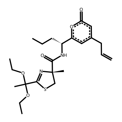 C=CCc1cc([C@@H](CCC)NC(=O)[C@]2(C)CSC(C(C)(OCC)OCC)=N2)oc(=O)c1